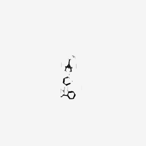 COC(=O)C1[C@H]2CN(c3ccc(-n4nc(I)c5cccc(C)c54)cn3)C[C@@H]12